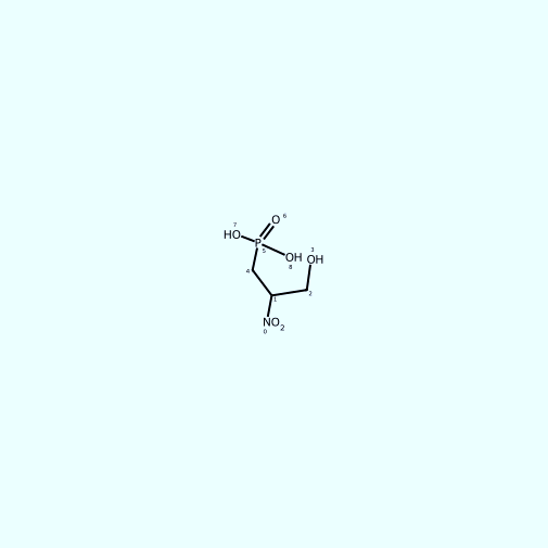 O=[N+]([O-])C(CO)CP(=O)(O)O